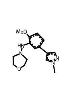 COc1ccc(-c2cnn(C)c2)cc1NN1CCOCC1